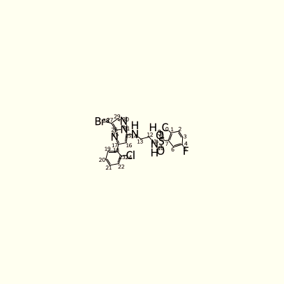 Cc1ccc(F)cc1S(=O)(=O)NCCNc1cc(-c2ccccc2Cl)nc2c(Br)cnn12